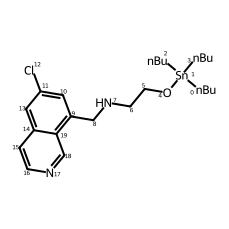 CCC[CH2][Sn]([CH2]CCC)([CH2]CCC)[O]CCNCc1cc(Cl)cc2ccncc12